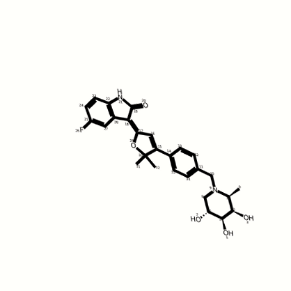 C[C@H]1[C@@H](O)[C@@H](O)[C@H](O)CN1Cc1ccc(C2=C/C(=C3\C(=O)Nc4ccc(F)cc43)OC2(C)C)cc1